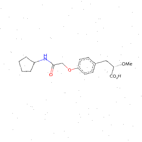 CO[C@@H](Cc1ccc(OCC(=O)NC2CCCC2)cc1)C(=O)O